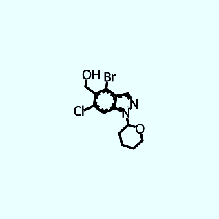 OCc1c(Cl)cc2c(cnn2C2CCCCO2)c1Br